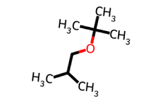 CC(C)COC(C)(C)C